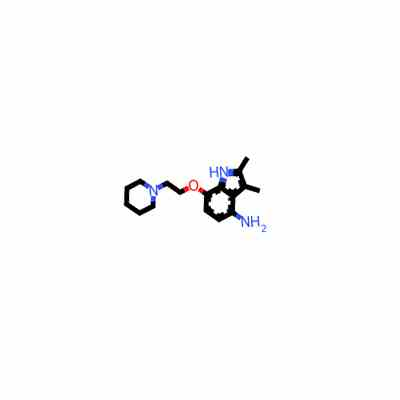 Cc1[nH]c2c(OCCN3CCCCC3)ccc(N)c2c1C